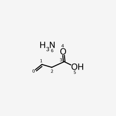 C=CCC(=O)O.N